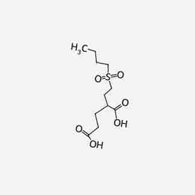 CCCCS(=O)(=O)CCC(CCC(=O)O)C(=O)O